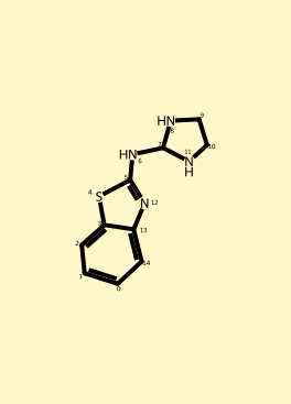 c1ccc2sc(NC3NCCN3)nc2c1